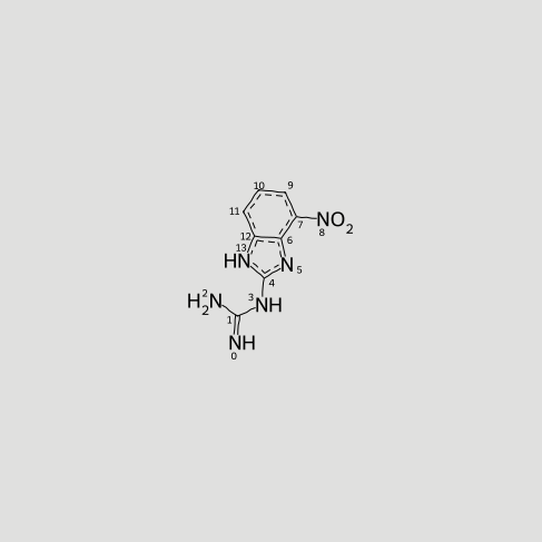 N=C(N)Nc1nc2c([N+](=O)[O-])cccc2[nH]1